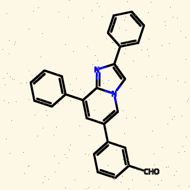 O=Cc1cccc(-c2cc(-c3ccccc3)c3nc(-c4ccccc4)cn3c2)c1